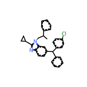 CC(Cn1c(C2CC2)nc2ccc(C(c3ccccc3)c3ccc(Cl)cc3)cc21)c1ccccc1